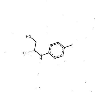 C[C@H](CO)Nc1ccc(F)cc1